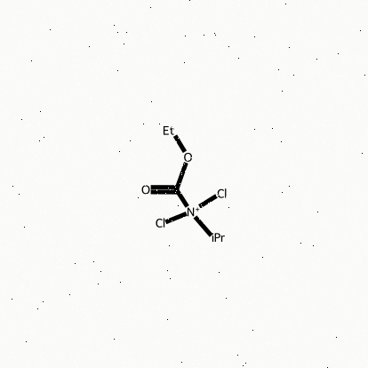 CCOC(=O)[N+](Cl)(Cl)C(C)C